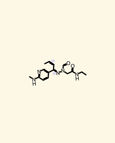 C/C=C\C(=N/N(C=O)CC(=O)NCC)c1ccc(NC)nc1